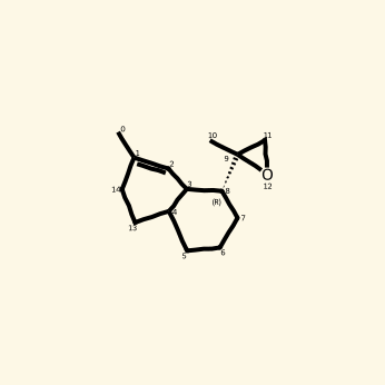 CC1=CC2C(CCC[C@H]2C2(C)CO2)CC1